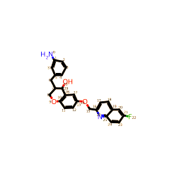 Nc1cccc(CC2COc3ccc(OCc4ccc5cc(F)ccc5n4)cc3C2O)c1